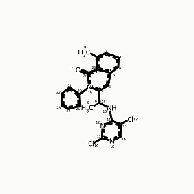 Cc1cccc2cc([C@H](C)Nc3nc(Cl)ncc3Cl)n(-c3ccccc3)c(=O)c12